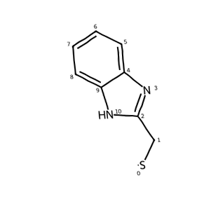 [S]Cc1nc2ccccc2[nH]1